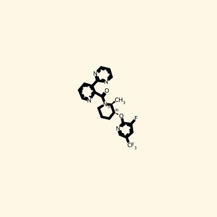 C[C@H]1[C@H](Oc2ncc(C(F)(F)F)cc2F)CCCN1C(=O)c1ncccc1-c1ncccn1